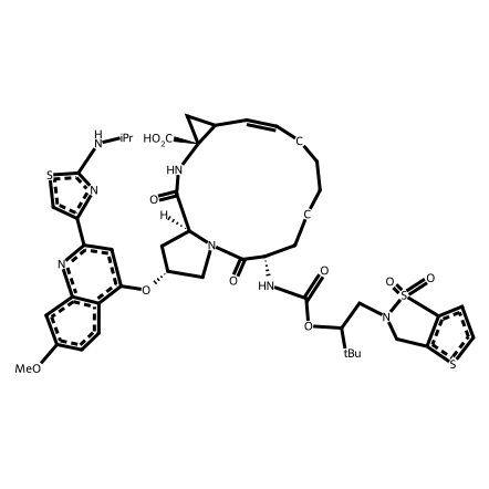 COc1ccc2c(O[C@@H]3C[C@H]4C(=O)N[C@]5(C(=O)O)CC5/C=C\CCCCC[C@H](NC(=O)OC(CN5Cc6sccc6S5(=O)=O)C(C)(C)C)C(=O)N4C3)cc(-c3csc(NC(C)C)n3)nc2c1